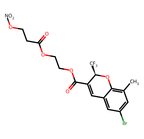 Cc1cc(Br)cc2c1O[C@H](C(F)(F)F)C(C(=O)OCCOC(=O)CCO[N+](=O)[O-])=C2